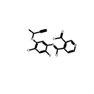 C#CC(C)Oc1cc(N=C(Cl)c2ccncc2C(=O)Cl)c(F)cc1Cl